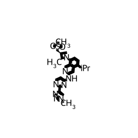 CC(C)c1ccc(N2C[C@H](CS(C)(=O)=O)[C@H]2C)c2cnc(Nc3ccnc(-c4cn(C)nn4)n3)cc12